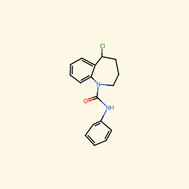 O=C(Nc1ccccc1)N1CCCC(Cl)c2ccccc21